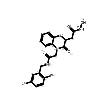 O=C(CC1Sc2ccccc2N(CC(=O)NCc2cc(F)ccc2F)C1=O)NO